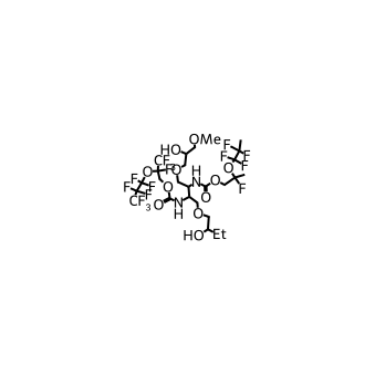 CCC(O)COCC(NC(=O)OCC(F)(OC(F)(F)C(F)(F)C(F)(F)F)C(F)(F)F)C(COCC(O)COC)NC(=O)OCC(C)(F)OC(F)(F)C(C)(F)F